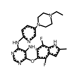 CCN1CCN(c2ccc(Nc3ncnc(Oc4cc(F)c5[nH]c(C)cc5c4F)c3N)nc2)CC1